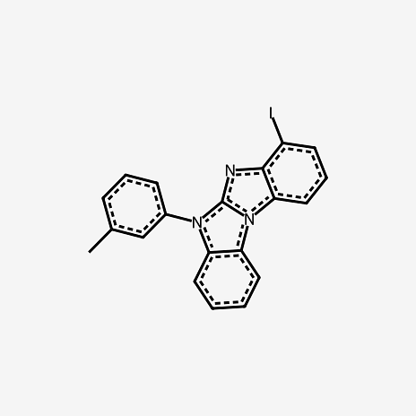 Cc1cccc(-n2c3ccccc3n3c4cccc(I)c4nc23)c1